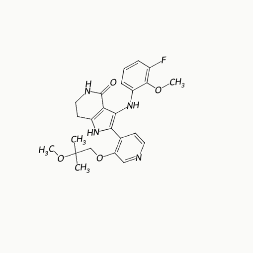 COc1c(F)cccc1Nc1c(-c2ccncc2OCC(C)(C)OC)[nH]c2c1C(=O)NCC2